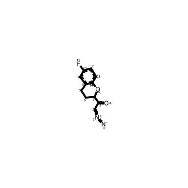 [N-]=[N+]=CC(=O)C1CCc2cc(F)ccc2O1